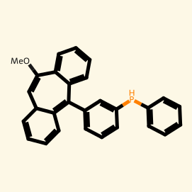 COC1=CC2C=CC=CC2=C(c2cccc(Pc3ccccc3)c2)c2ccccc21